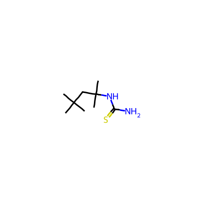 CC(C)(C)CC(C)(C)NC(N)=S